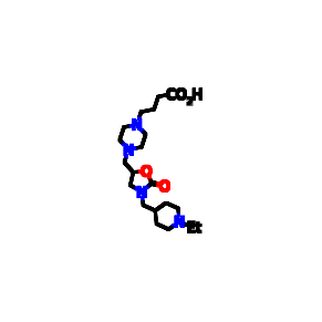 CCN1CCC(CN2CC(CN3CCN(CCCC(=O)O)CC3)OC2=O)CC1